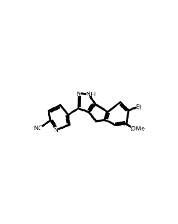 CCc1cc2c(cc1OC)Cc1c(-c3ccc(C#N)nc3)n[nH]c1-2